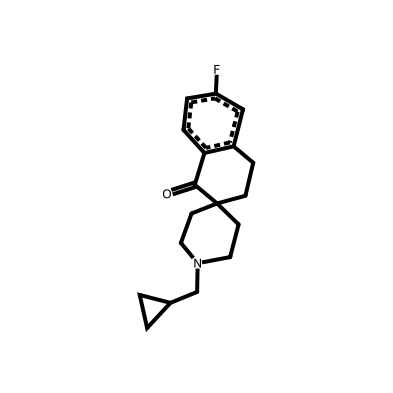 O=C1c2ccc(F)cc2CCC12CCN(CC1CC1)CC2